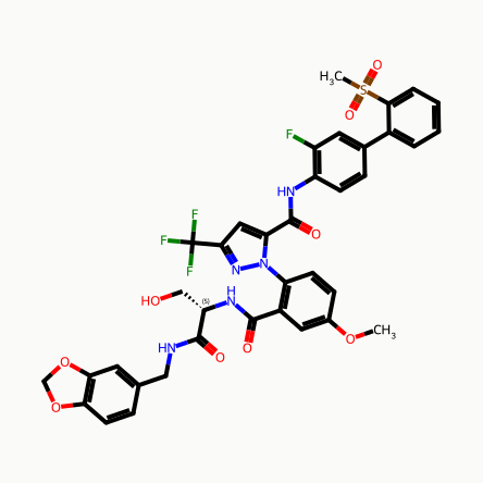 COc1ccc(-n2nc(C(F)(F)F)cc2C(=O)Nc2ccc(-c3ccccc3S(C)(=O)=O)cc2F)c(C(=O)N[C@@H](CO)C(=O)NCc2ccc3c(c2)OCO3)c1